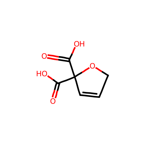 O=C(O)C1(C(=O)O)C=CCO1